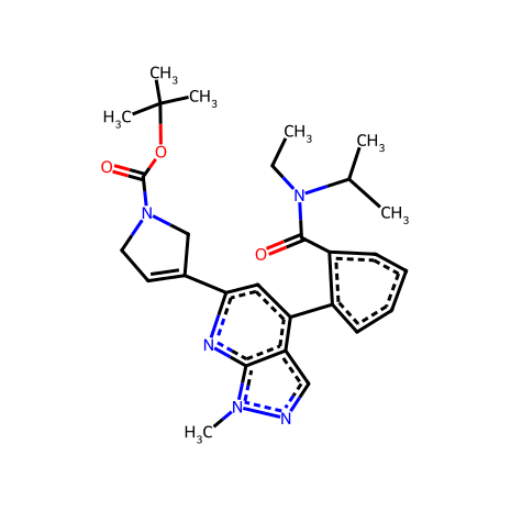 CCN(C(=O)c1ccccc1-c1cc(C2=CCN(C(=O)OC(C)(C)C)C2)nc2c1cnn2C)C(C)C